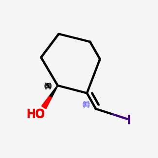 O[C@H]1CCCC/C1=C\I